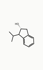 CC(C)C1c2ccccc2C[C@H]1O